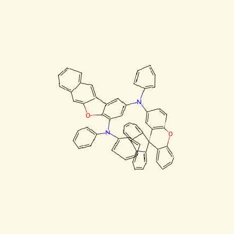 c1ccc(N(c2ccc3c(c2)C2(c4ccccc4O3)c3ccccc3-c3ccccc32)c2cc(N(c3ccccc3)c3ccccc3)c3oc4cc5ccccc5cc4c3c2)cc1